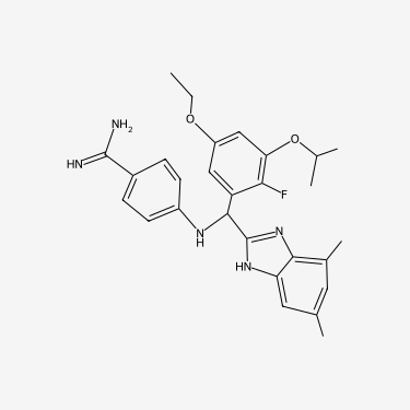 CCOc1cc(OC(C)C)c(F)c(C(Nc2ccc(C(=N)N)cc2)c2nc3c(C)cc(C)cc3[nH]2)c1